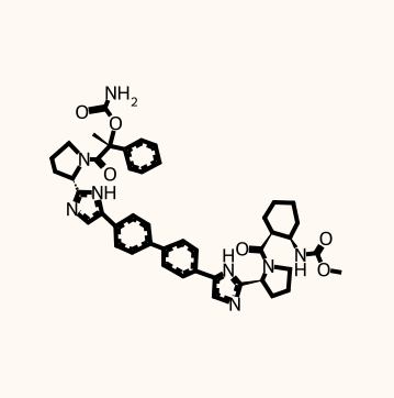 COC(=O)N[C@@H]1CCCC[C@@H]1C(=O)N1CCC[C@H]1c1ncc(-c2ccc(-c3ccc(-c4cnc([C@@H]5CCCN5C(=O)[C@](C)(OC(N)=O)c5ccccc5)[nH]4)cc3)cc2)[nH]1